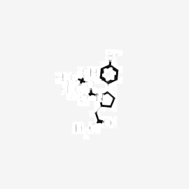 CC(=O)C[C@@H]1CC[C@@H](c2ccc(Br)cc2)N1C(=O)OC(C)(C)C